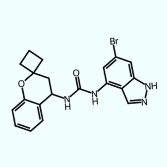 O=C(Nc1cc(Br)cc2[nH]ncc12)NC1CC2(CCC2)Oc2ccccc21